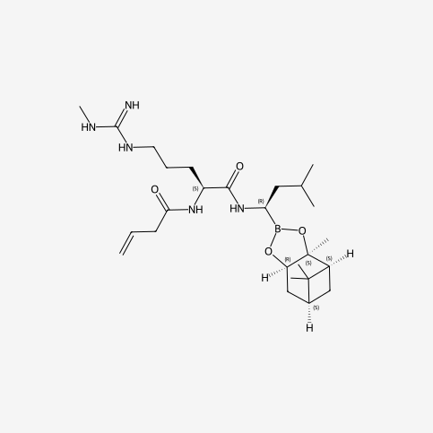 C=CCC(=O)N[C@@H](CCCNC(=N)NC)C(=O)N[C@@H](CC(C)C)B1O[C@@H]2C[C@@H]3C[C@@H](C3(C)C)[C@]2(C)O1